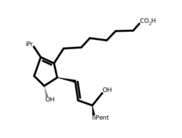 CCCCC[C@H](O)C=C[C@@H]1C(CCCCCCC(=O)O)=C(C(C)C)C[C@H]1O